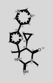 CN1C(=N)NC(C)(c2ccc(-c3cncnc3)s2)[C@@H](C2CC2)C1=O